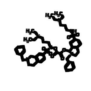 CCN(CC)CCCNS(=O)(=O)c1ccc2c(c1)C(OC(=O)C(=O)ON(CCCN(CC)CC)S(=O)(=O)c1ccc3c(c1)CN(Cc1ccccc1)CC3)N(Cc1ccccc1)CC2